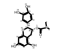 CN(C)C(=O)O[C@@H]1Cc2c(O)cc(O)cc2O[C@@H]1c1ccc(O)c(O)c1